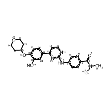 CN(C)C(=O)c1ccc(Nc2nccc(-c3ccc(OC4CCOCC4)c(C#N)c3)n2)cn1